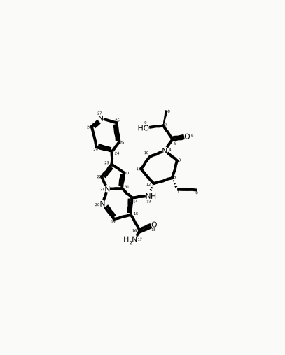 CC[C@H]1CN(C(=O)[C@H](C)O)CC[C@H]1Nc1c(C(N)=O)cnn2cc(-c3ccncc3)cc12